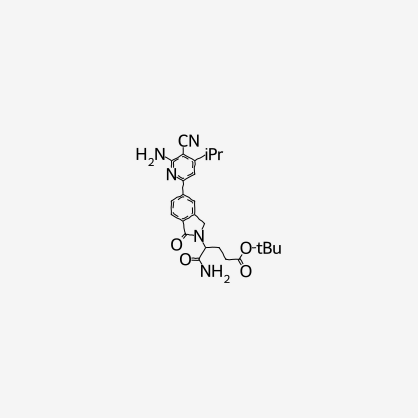 CC(C)c1cc(-c2ccc3c(c2)CN(C(CCC(=O)OC(C)(C)C)C(N)=O)C3=O)nc(N)c1C#N